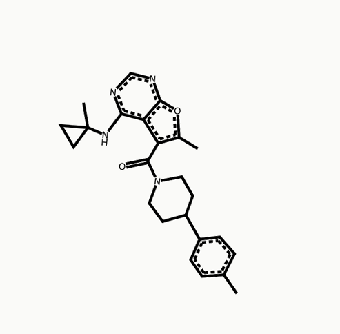 Cc1ccc(C2CCN(C(=O)c3c(C)oc4ncnc(NC5(C)CC5)c34)CC2)cc1